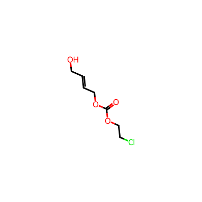 O=C(OCC=CCO)OCCCl